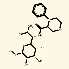 CS[C@H]1OC([C@@H](NC(=O)C2CNCCN2c2ccccc2)[C@H](C)Cl)[C@H](O)[C@H](O)[C@H]1O